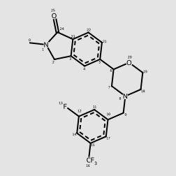 CN1Cc2cc(C3CN(Cc4cc(F)cc(C(F)(F)F)c4)CCO3)ccc2C1=O